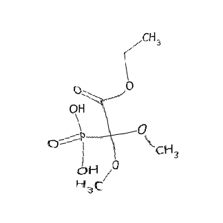 CCOC(=O)C(OC)(OC)P(=O)(O)O